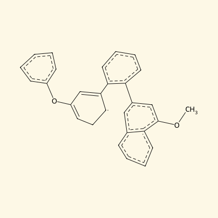 COc1cc(-c2ccccc2C2=CC(Oc3ccccc3)=CC[CH]2)cc2ccccc12